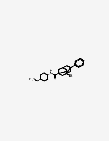 CCC12CC3CC(C(=O)N[C@H]4CC[C@H](CN)CC4)(C1)CC(c1ccccc1)(C3)C2